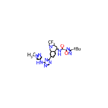 Cn1cc(Nc2ncnc(-c3ccc4c(c3)CN(CC(F)(F)F)CC[C@H]4NC(=O)c3nc(C(C)(C)C)no3)n2)cn1